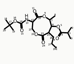 CC(C)C(=O)OC1C(C)OC(=O)C(NC(=O)OC(C)(C)C)COC(=O)C1CCI